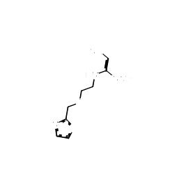 CN/C(=C/C#N)NCCSCc1nccs1